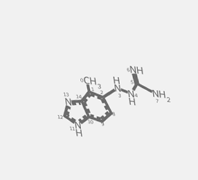 Cc1c(NNC(=N)N)ccc2[nH]cnc12